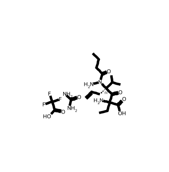 C=CC[C@@](C(=O)C(N)(CC)C(=O)O)(C(C)C)N(N)C(=O)CCC.NC(N)=O.O=C(O)C(F)(F)F